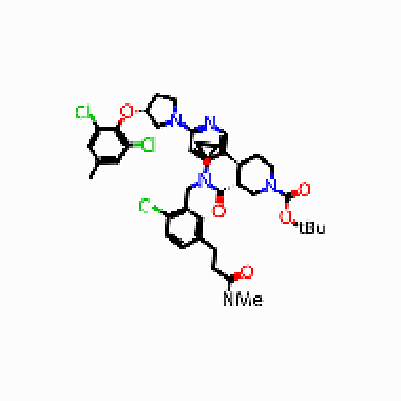 CNC(=O)CCc1ccc(Cl)c(CN(C(=O)[C@H]2CN(C(=O)OC(C)(C)C)CC[C@@H]2c2ccc(N3CC[C@@H](Oc4c(Cl)cc(C)cc4Cl)C3)nc2)C2CC2)c1